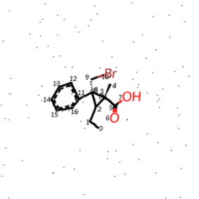 CCC1[C@@](C)(C(=O)O)[C@]1(CBr)c1ccccc1